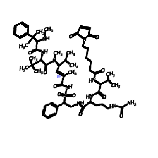 CNC(C(=O)NC(C(=O)N(C)C(/C=C(\C)C(=O)NS(=O)(=O)C(CNC(=O)C(CCCNC(N)=O)NC(=O)C(NC(=O)CCCCCN1C(=O)C=CC1=O)C(C)C)c1ccccc1)C(C)C)C(C)(C)C)C(C)(C)c1ccccc1